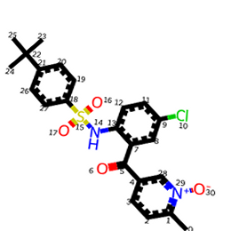 Cc1ccc(C(=O)c2cc(Cl)ccc2NS(=O)(=O)c2ccc(C(C)(C)C)cc2)c[n+]1[O-]